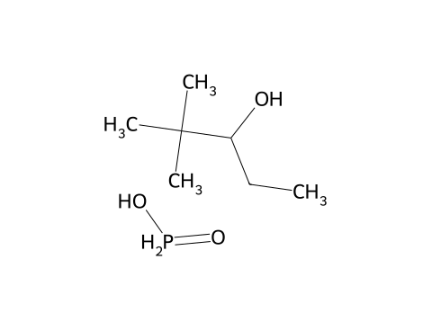 CCC(O)C(C)(C)C.O=[PH2]O